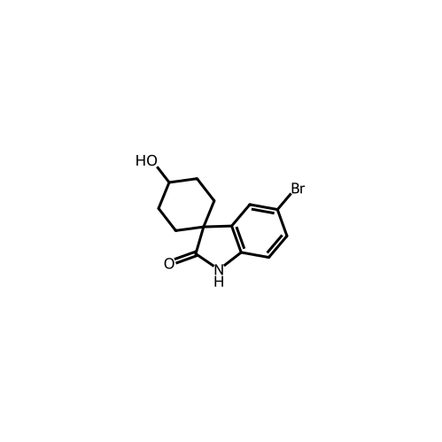 O=C1Nc2ccc(Br)cc2C12CCC(O)CC2